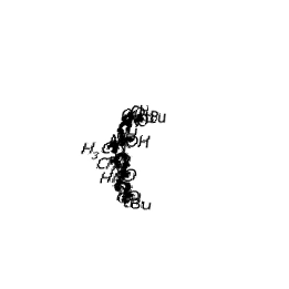 Cc1nc(N2CCC3(CC2)CO[C@@H](C)[C@H]3NC(=O)OC(C)(C)C)c(CO)nc1Sc1ccn2cc(C(=O)NC3CCN(C(=O)OC(C)(C)C)CC3)nc2c1Cl